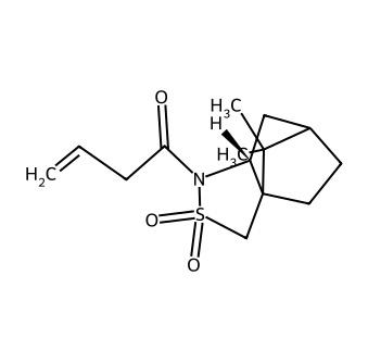 C=CCC(=O)N1[C@@H]2CC3CCC2(CS1(=O)=O)C3(C)C